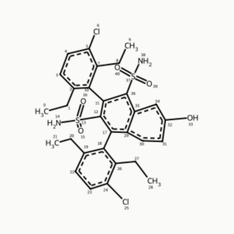 CCc1ccc(Cl)c(CC)c1-c1c(S(N)(=O)=O)c(-c2c(CC)ccc(Cl)c2CC)c2ccc(O)cc2c1S(N)(=O)=O